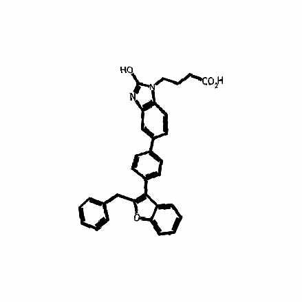 O=C(O)CCCn1c(O)nc2cc(-c3ccc(-c4c(Cc5ccccc5)oc5ccccc45)cc3)ccc21